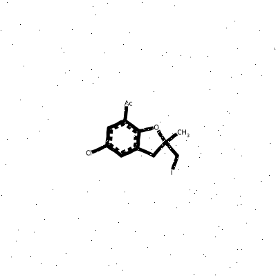 CC(=O)c1cc(Cl)cc2c1OC(C)(CI)C2